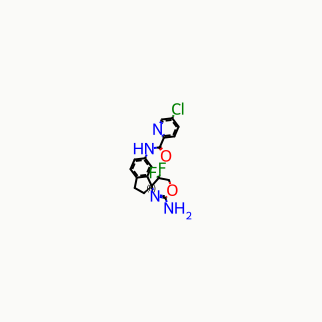 NC1=N[C@@]2(CCc3ccc(NC(=O)c4ccc(Cl)cn4)cc32)C(F)(F)CO1